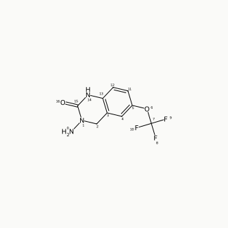 NN1Cc2cc(OC(F)(F)F)ccc2NC1=O